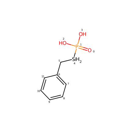 O=P(O)(O)[SiH2]Cc1ccccc1